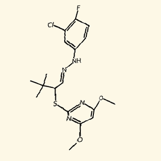 COc1cc(OC)nc(SC(C=NNc2ccc(F)c(Cl)c2)C(C)(C)C)n1